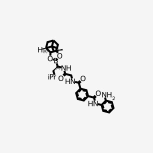 CC(C)C[C@H](NC(=O)CNC(=O)c1cccc(C(=O)Nc2ccccc2N)c1)B1OC2[C@@H]3CC(C[C@]2(C)O1)C3(C)C